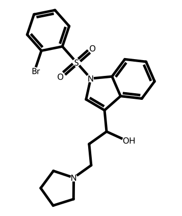 O=S(=O)(c1ccccc1Br)n1cc(C(O)CCN2CCCC2)c2ccccc21